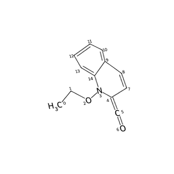 CCON1C(=C=O)C=Cc2ccccc21